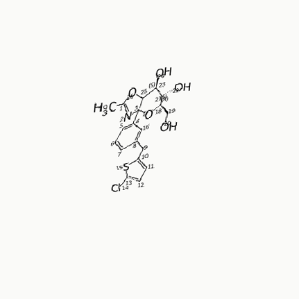 CC1=NC2(c3cccc(Cc4ccc(Cl)s4)c3)O[C@H](CO)[C@@H](O)[C@H](O)C2O1